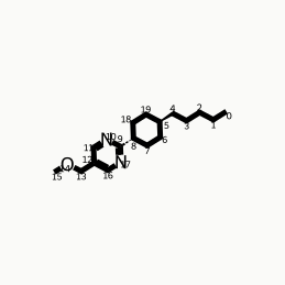 CCCCC[C@H]1CC[C@H](c2ncc(COC)cn2)CC1